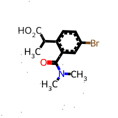 CC(C(=O)O)c1ccc(Br)cc1C(=O)N(C)C